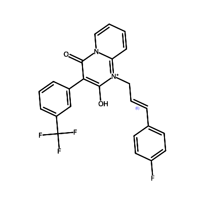 O=c1c(-c2cccc(C(F)(F)F)c2)c(O)[n+](C/C=C/c2ccc(F)cc2)c2ccccn12